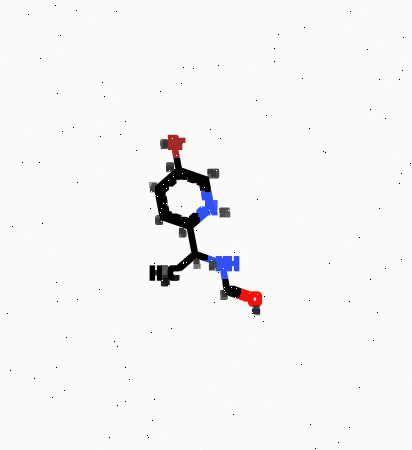 CC(NC=O)c1ccc(Br)cn1